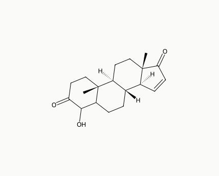 C[C@]12CCC(=O)C(O)C1CC[C@@H]1[C@@H]2CC[C@]2(C)C(=O)C=C[C@@H]12